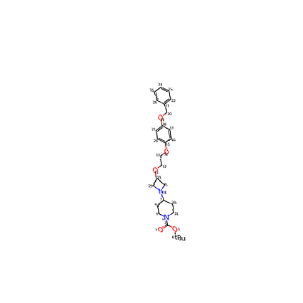 CC(C)(C)OC(=O)N1CCC(N2CC(OCCOc3ccc(OCc4ccccc4)cc3)C2)CC1